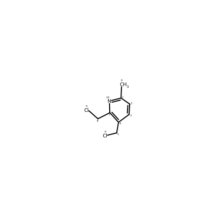 Cc1ccc(CCl)c(CCl)n1